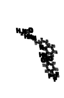 NC(=O)N/N=C/c1ccc2cccc(NS(=O)(=O)c3ccc(C(F)(F)F)cc3)c2n1